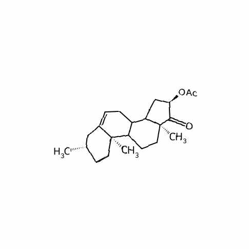 CC(=O)O[C@@H]1CC2C3CC=C4C[C@@H](C)CC[C@]4(C)C3CC[C@]2(C)C1=O